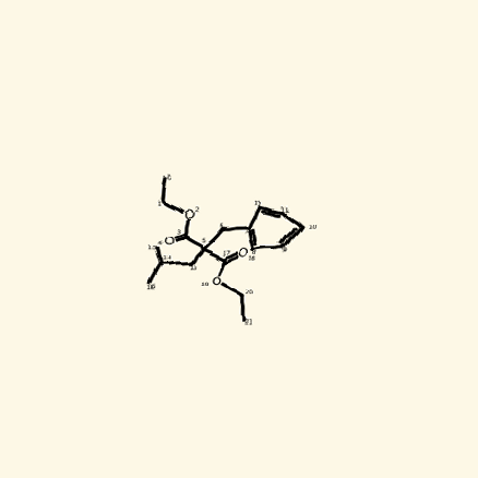 CCOC(=O)C(Cc1ccccc1)(CC(C)C)C(=O)OCC